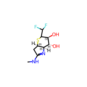 CNC1=N[C@@H]2[C@@H](O)[C@H](O)C(C(F)F)S[C@@H]2C1